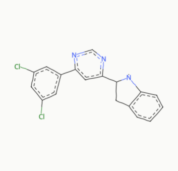 Clc1cc(Cl)cc(-c2cc(C3Cc4ccccc4[N]3)ncn2)c1